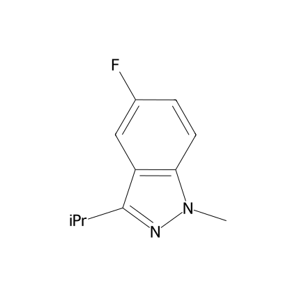 CC(C)c1nn(C)c2ccc(F)cc12